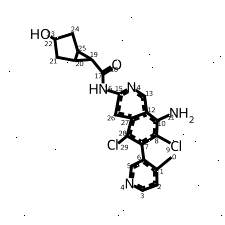 Cc1ccncc1-c1c(Cl)c(N)c2cnc(NC(=O)C3C4CC(O)CC43)cc2c1Cl